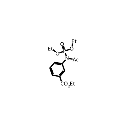 CCOC(=O)c1cccc(N(C(C)=O)P(=O)(OCC)OCC)c1